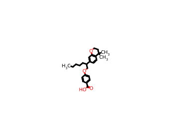 CCCCCC(COc1ccc(C(=O)O)cc1)c1ccc2c(c1)OCCC2(C)C